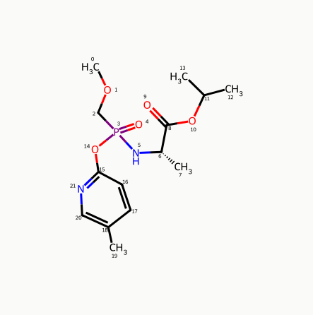 COCP(=O)(N[C@@H](C)C(=O)OC(C)C)Oc1ccc(C)cn1